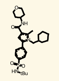 Cc1c(C(=O)NC2CCOCC2)cc(-c2ccc(S(=O)(=O)NC(C)(C)C)cc2)n1CC1CCCCC1